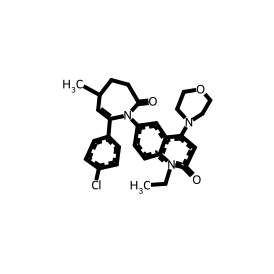 CCn1c(=O)cc(N2CCOCC2)c2cc(N3C(=O)CCC(C)C=C3c3ccc(Cl)cc3)ccc21